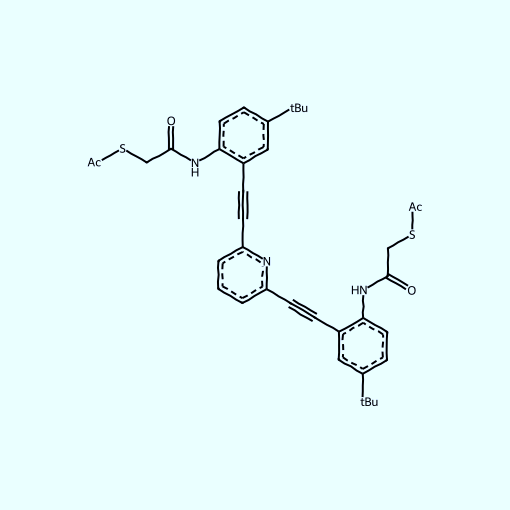 CC(=O)SCC(=O)Nc1ccc(C(C)(C)C)cc1C#Cc1cccc(C#Cc2cc(C(C)(C)C)ccc2NC(=O)CSC(C)=O)n1